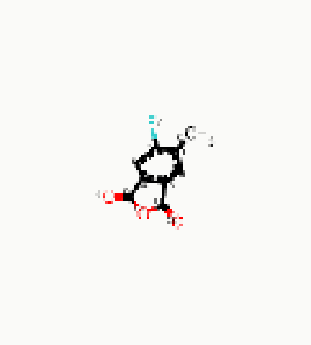 Cc1cc2c(cc1F)C(=O)OC2=O